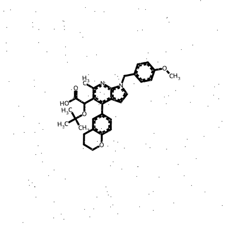 COc1ccc(Cn2ccc3c(-c4ccc5c(c4)CCCO5)c(C(OC(C)(C)C)C(=O)O)c(C)nc32)cc1